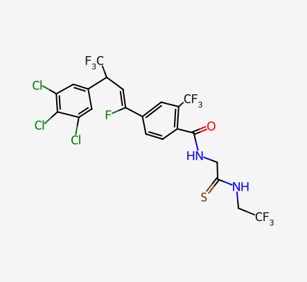 O=C(NCC(=S)NCC(F)(F)F)c1ccc(C(F)=CC(c2cc(Cl)c(Cl)c(Cl)c2)C(F)(F)F)cc1C(F)(F)F